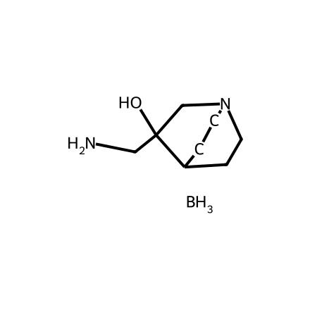 B.NCC1(O)CN2CCC1CC2